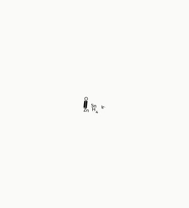 [Ir].[O]=[Zn].[SnH4]